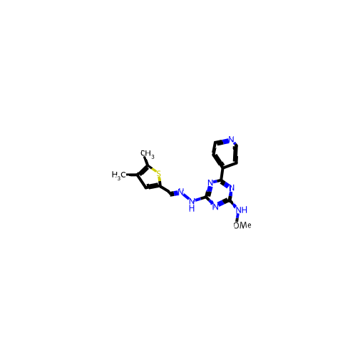 CONc1nc(NN=Cc2cc(C)c(C)s2)nc(-c2ccncc2)n1